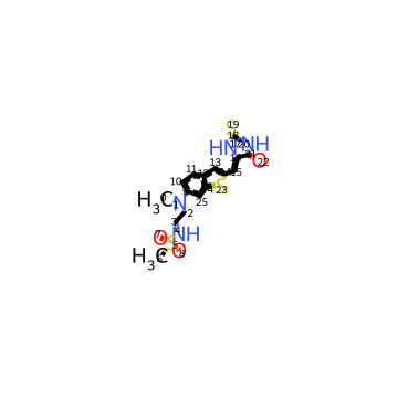 CN(CCNS(C)(=O)=O)c1ccc2cc(/C=C3\NC(=S)NC3=O)sc2c1